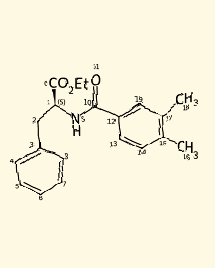 CCOC(=O)[C@H](Cc1ccccc1)NC(=O)c1ccc(C)c(C)c1